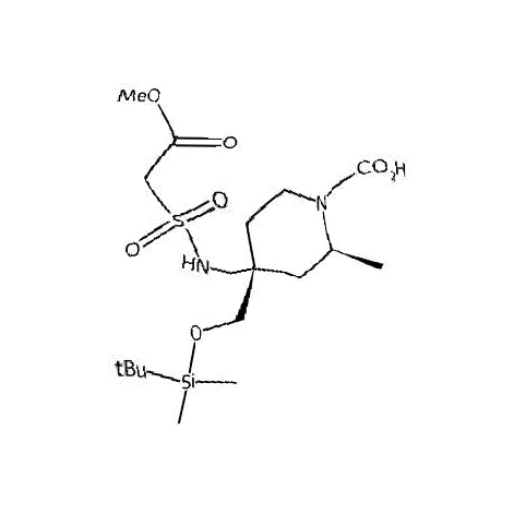 COC(=O)CS(=O)(=O)N[C@]1(CO[Si](C)(C)C(C)(C)C)CCN(C(=O)O)[C@@H](C)C1